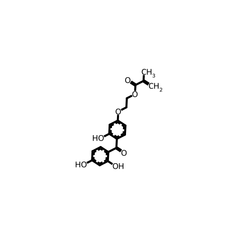 C=C(C)C(=O)OCCOc1ccc(C(=O)c2ccc(O)cc2O)c(O)c1